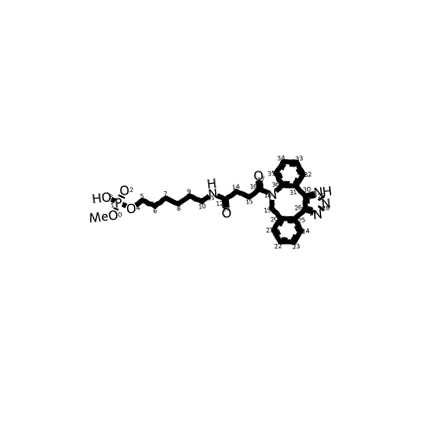 COP(=O)(O)OCCCCCCNC(=O)CCC(=O)N1Cc2ccccc2-c2nn[nH]c2-c2ccccc21